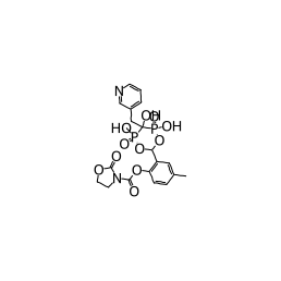 Cc1ccc(OC(=O)N2CCOC2=O)c(C2OP(=O)(O)C(O)(Cc3cccnc3)P(=O)(O)O2)c1